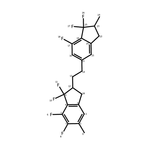 Cc1cc2c(c(F)c1F)C(F)(F)C(CCc1cc(F)c3c(c1)CC(C)C3(F)F)C2